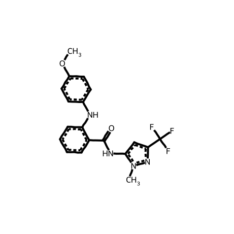 COc1ccc(Nc2ccccc2C(=O)Nc2cc(C(F)(F)F)nn2C)cc1